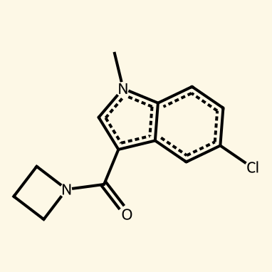 Cn1cc(C(=O)N2CCC2)c2cc(Cl)ccc21